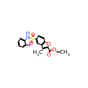 CCOC(=O)c1oc2ccc(S(=O)(=O)Nc3ccccc3I)cc2c1C